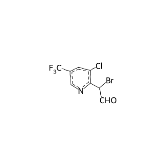 O=CC(Br)c1ncc(C(F)(F)F)cc1Cl